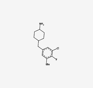 CC(C)(C)c1cc(CC2CCC(N)CC2)cc(Cl)c1F